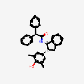 Cc1cc([C@H]2Cc3ccccc3[C@H]2NC(=O)C(c2ccccc2)c2ccccc2)cc(C)c1O